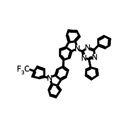 FC(F)(F)c1ccc(-n2c3ccccc3c3ccc(-c4ccc5c6ccccc6n(-c6nc(-c7ccccc7)nc(-c7ccccc7)n6)c5c4)cc32)cc1